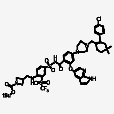 CC1(C)CCC(CN2CCN(c3ccc(C(=O)NS(=O)(=O)c4ccc(NCC5CN(C(=O)OC(C)(C)C)C5)c(S(=O)(=O)C(F)(F)F)c4)c(Oc4cnc5[nH]ccc5c4)c3)CC2)=C(c2ccc(Cl)cc2)C1